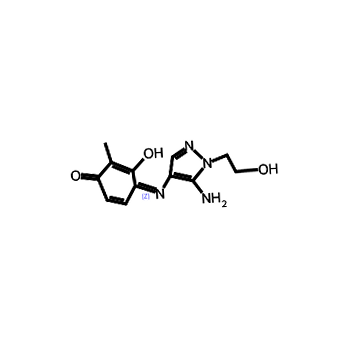 CC1=C(O)/C(=N\c2cnn(CCO)c2N)C=CC1=O